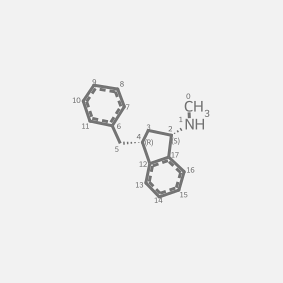 CN[C@H]1C[C@@H](Cc2ccccc2)c2ccccc21